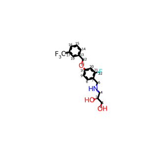 OC[C@@H](O)CNCc1ccc(OCc2cccc(C(F)(F)F)c2)cc1F